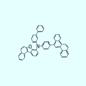 c1ccc(-c2cccc(N(c3ccc(-c4cc5c6ccccc6ccc5c5ccccc45)cc3)c3cccc4c3oc3ccc5ccccc5c34)c2)cc1